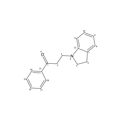 O=C(CCN1CCc2ccccc21)c1ccccc1